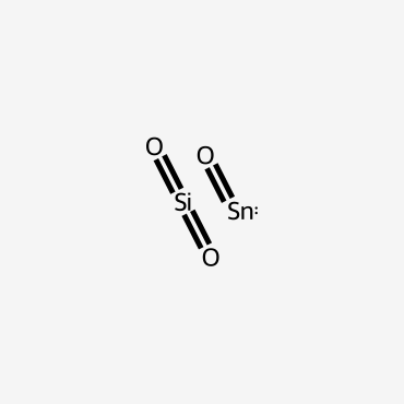 O=[Si]=O.[O]=[Sn]